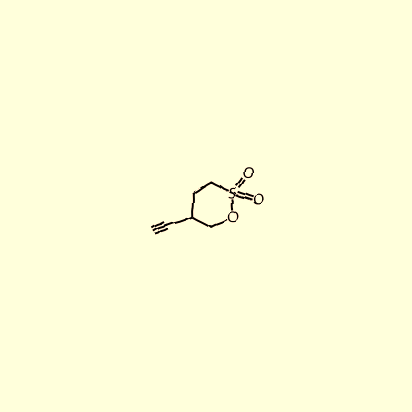 C#CC1CCS(=O)(=O)OC1